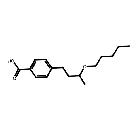 CCCCCOC(C)CCc1ccc(C(=O)O)cc1